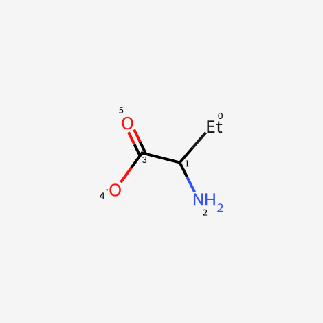 CCC(N)C([O])=O